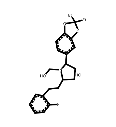 CCC1(CC)Oc2ccc(C3CCC(CCc4ccccc4F)N3CO)cc2S1.Cl